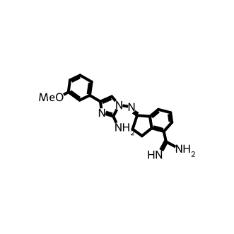 COc1cccc(-c2cn(/N=C3\CCc4c(C(=N)N)cccc43)c(N)n2)c1